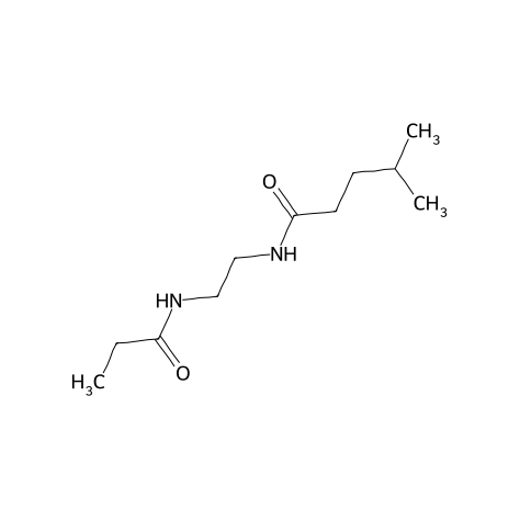 CCC(=O)NCCNC(=O)CCC(C)C